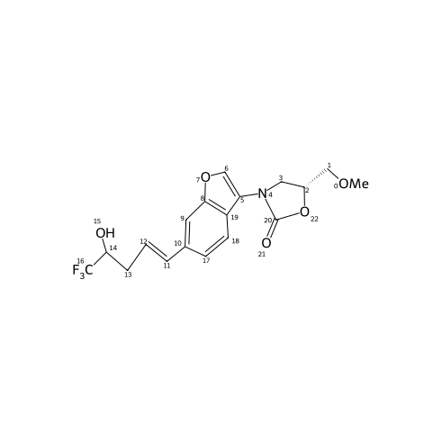 COC[C@H]1CN(c2coc3cc(C=CCC(O)C(F)(F)F)ccc23)C(=O)O1